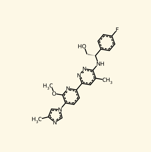 COc1nc(-c2cc(C)c(N[C@H](CO)c3ccc(F)cc3)nn2)ccc1-n1cnc(C)c1